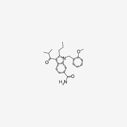 CCCc1c(C(=O)C(C)C)c2ccc(C(N)=O)cc2n1Cc1ccccc1OC